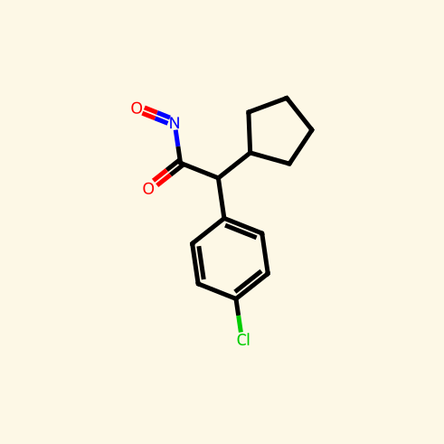 O=NC(=O)C(c1ccc(Cl)cc1)C1CCCC1